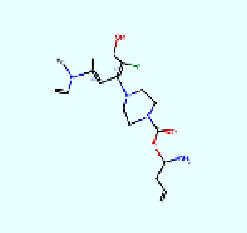 C=CCC(N)OC(=O)N1CCN(C(/C=C(\C)N(C=C)CC)=C(\F)CO)CC1